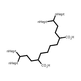 CCCCCCCC(CCCCCCC)CCC(CCCCC(CCC(CCCCCCC)CCCCCCC)C(=O)O)C(=O)O